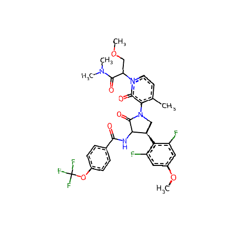 COCC(C(=O)N(C)C)n1ccc(C)c(N2C[C@@H](c3c(F)cc(OC)cc3F)C(NC(=O)c3ccc(OC(F)(F)F)cc3)C2=O)c1=O